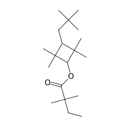 CCC(C)(C)C(=O)OC1C(C)(C)C(CC(C)(C)C)C1(C)C